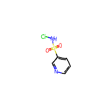 O=S(=O)(NCl)c1cccnc1